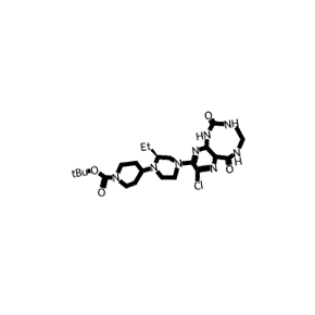 CC[C@H]1CN(C2=NC3NC(=O)NCCNC(=O)C3N=C2Cl)CCN1C1CCN(C(=O)OC(C)(C)C)CC1